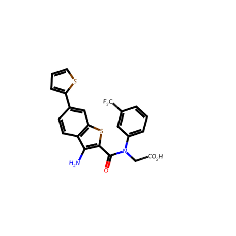 Nc1c(C(=O)N(CC(=O)O)c2cccc(C(F)(F)F)c2)sc2cc(-c3cccs3)ccc12